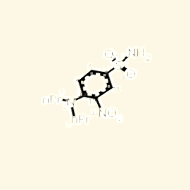 CCCN(CCC)c1ccc(S(N)(=O)=O)cc1[N+](=O)[O-]